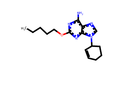 CCCCCOc1nc(N)c2ncn(C3C=CCCC3)c2n1